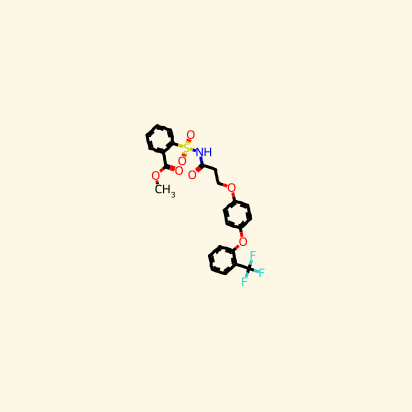 COC(=O)c1ccccc1S(=O)(=O)NC(=O)CCOc1ccc(Oc2ccccc2C(F)(F)F)cc1